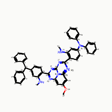 CNc1cc(C(c2ccccc2)c2ccccc2)ccc1C1=NC2=CC(OC)=CC3=NC(c4ccc(N(c5ccccc5)c5ccccc5)cc4NC)=NC(=N1)N23